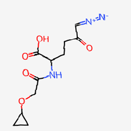 [N-]=[N+]=CC(=O)CCC(NC(=O)COC1CC1)C(=O)O